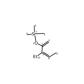 C=C(O[Si](C)(C)C)C(=CC)CC